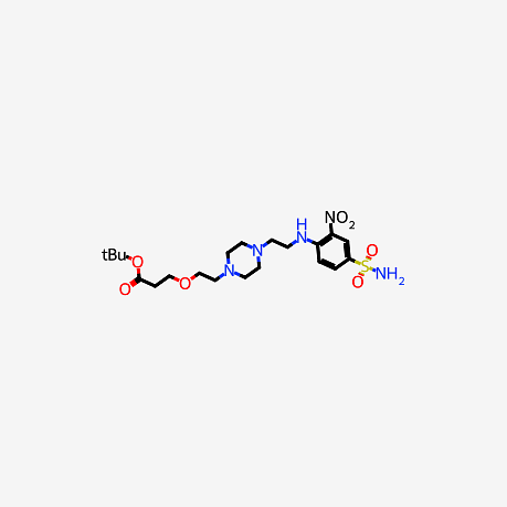 CC(C)(C)OC(=O)CCOCCN1CCN(CCNc2ccc(S(N)(=O)=O)cc2[N+](=O)[O-])CC1